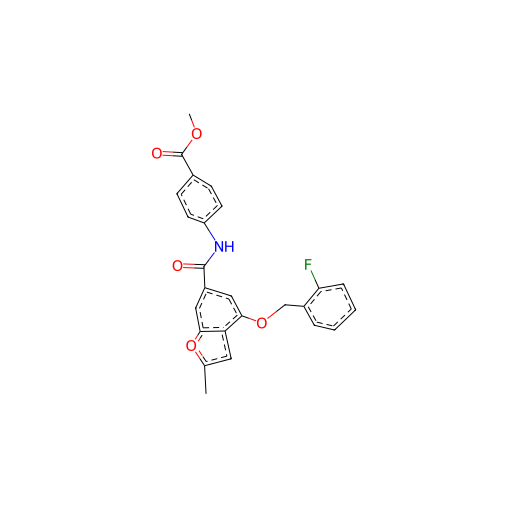 COC(=O)c1ccc(NC(=O)c2cc(OCc3ccccc3F)c3cc(C)oc3c2)cc1